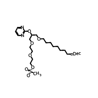 CCCCCCCCCCCCCCCCCCOCC(COCCOCCOS(C)(=O)=O)Oc1ncccn1